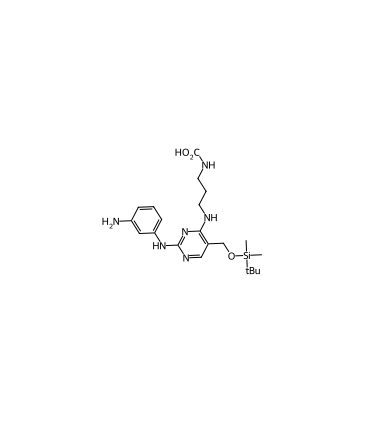 CC(C)(C)[Si](C)(C)OCc1cnc(Nc2cccc(N)c2)nc1NCCCNC(=O)O